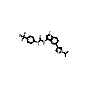 CC(C)n1cc(-c2ccc3[nH]cc(NC(=S)Nc4ccc(C(F)(F)F)cc4)c3c2)cn1